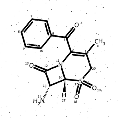 CC1=C(C(=O)c2ccccc2)N2C(=O)[C@@H](N)[C@H]2S(=O)(=O)C1